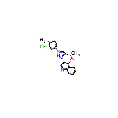 Cc1ccc(-n2cc([C@@H](C)Oc3ccnc4ccccc34)nn2)cc1Cl